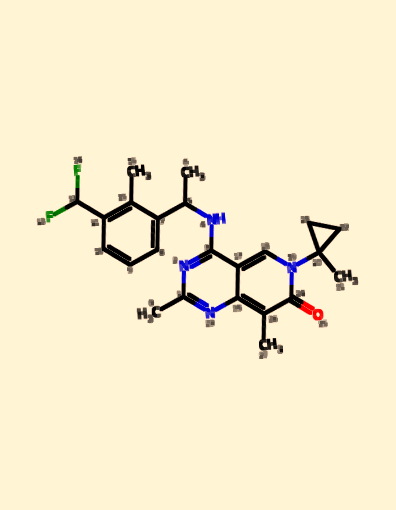 Cc1nc(NC(C)c2cccc(C(F)F)c2C)c2cn(C3(C)CC3)c(=O)c(C)c2n1